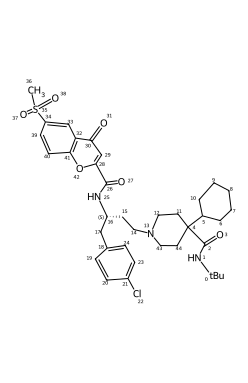 CC(C)(C)NC(=O)C1(C2CCCCC2)CCN(CC[C@H](Cc2ccc(Cl)cc2)NC(=O)c2cc(=O)c3cc(S(C)(=O)=O)ccc3o2)CC1